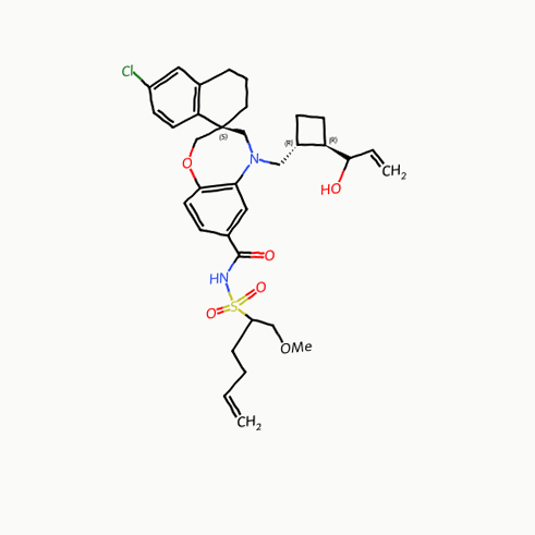 C=CCCC(COC)S(=O)(=O)NC(=O)c1ccc2c(c1)N(C[C@@H]1CC[C@H]1C(O)C=C)C[C@@]1(CCCc3cc(Cl)ccc31)CO2